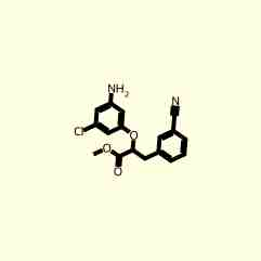 COC(=O)C(Cc1cccc(C#N)c1)Oc1cc(N)cc(Cl)c1